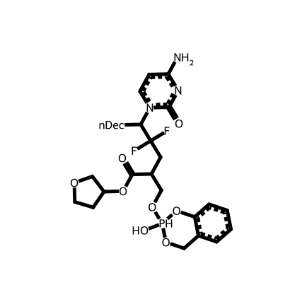 CCCCCCCCCCC(n1ccc(N)nc1=O)C(F)(F)CC(CO[PH]1(O)OCc2ccccc2O1)C(=O)OC1CCOC1